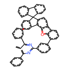 C=C/C(=N\C(=N/C(=C)c1ccccc1)c1cccc(-c2cccc3c2oc2c4c(ccc23)C2(c3ccccc3-c3ccccc32)c2ccccc2-4)c1)c1ccccc1